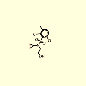 Cc1ccc(Cl)c(S(=O)(=O)N(CCO)C2CC2)c1Cl